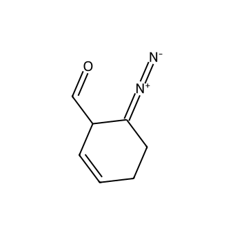 [N-]=[N+]=C1CCC=CC1C=O